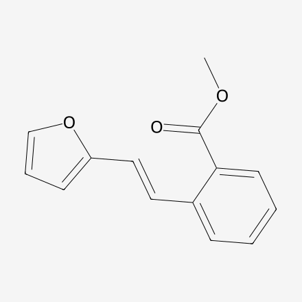 COC(=O)c1ccccc1C=Cc1ccco1